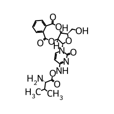 CC(C)[C@H](N)C(=O)ONc1ccn([C@@H]2O[C@H](CO)[C@H]3OC(=O)c4ccccc4C(=O)O[C@H]32)c(=O)n1